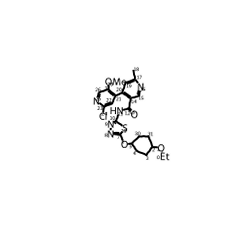 CCOC1CCC(Oc2nnc(NC(=O)c3cnc(C)cc3-c3cc(Cl)ncc3OC)s2)CC1